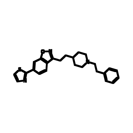 c1ccc(CCN2CCC(CCc3noc4cc(-c5nccs5)ccc34)CC2)cc1